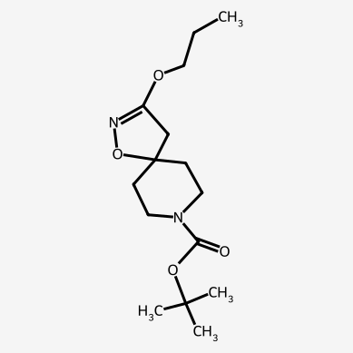 CCCOC1=NOC2(CCN(C(=O)OC(C)(C)C)CC2)C1